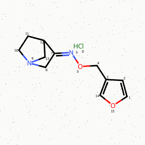 Cl.c1cc(CON=C2CN3CCC2C3)co1